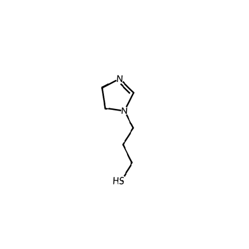 SCCCN1C=NCC1